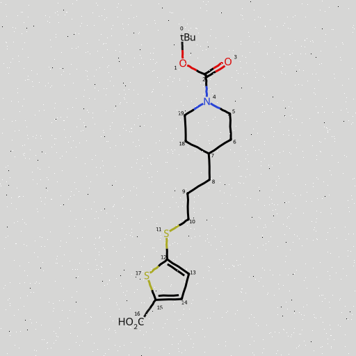 CC(C)(C)OC(=O)N1CCC(CCCSc2ccc(C(=O)O)s2)CC1